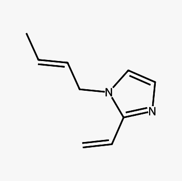 C=Cc1nccn1CC=CC